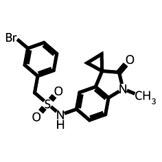 CN1C(=O)C2(CC2)c2cc(NS(=O)(=O)Cc3cccc(Br)c3)ccc21